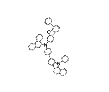 c1ccc(-c2cccc3c2oc2cc(N(c4ccc(-c5ccc6c7ccc8ccccc8c7n(-c7ccccc7)c6c5)cc4)c4cc5ccccc5c5ccccc45)ccc23)cc1